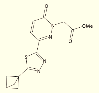 COC(=O)Cn1nc(-c2nnc(C34CC(C3)C4)s2)ccc1=O